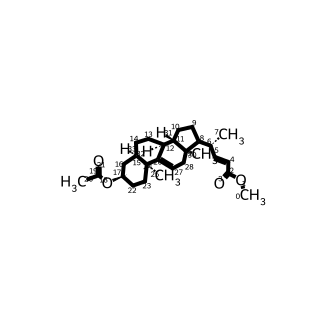 COC(=O)/C=C/[C@@H](C)C1CC[C@H]2[C@@H]3CC[C@@H]4C[C@H](OC(C)=O)CC[C@]4(C)C3=CC[C@]12C